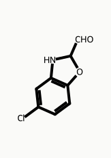 O=CC1Nc2cc(Cl)ccc2O1